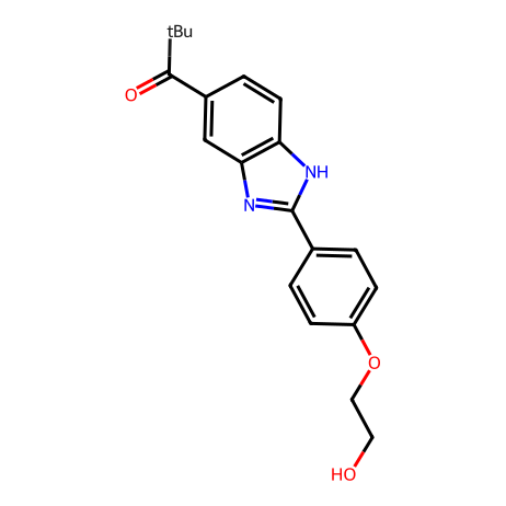 CC(C)(C)C(=O)c1ccc2[nH]c(-c3ccc(OCCO)cc3)nc2c1